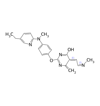 C=c1nc(Oc2ccc(N(C)c3ccc(CC)cn3)cc2)nc(O)/c1=C/C=N\C